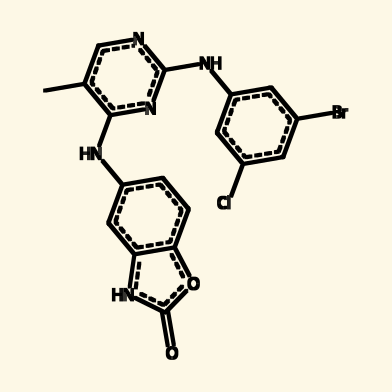 Cc1cnc(Nc2cc(Cl)cc(Br)c2)nc1Nc1ccc2oc(=O)[nH]c2c1